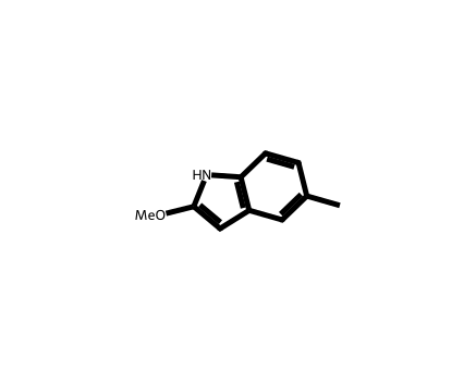 COc1cc2cc(C)ccc2[nH]1